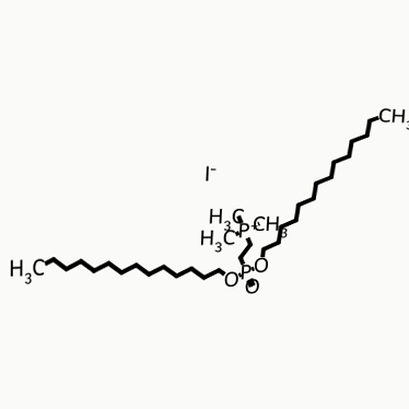 CCCCCCCCCCCCCCOP(=O)(CC[P+](C)(C)C)OCCCCCCCCCCCCCC.[I-]